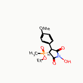 CCOP(C)(=O)[C@H]1C(=O)N(O)C(=O)C1c1ccc(OC)cc1